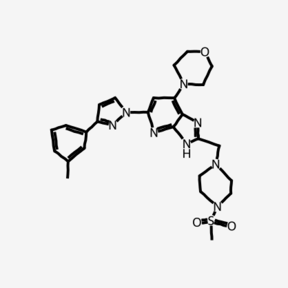 Cc1cccc(-c2ccn(-c3cc(N4CCOCC4)c4nc(CN5CCN(S(C)(=O)=O)CC5)[nH]c4n3)n2)c1